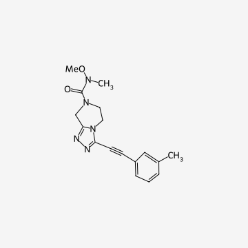 CON(C)C(=O)N1CCn2c(C#Cc3cccc(C)c3)nnc2C1